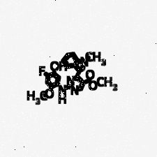 COC(=O)c1cnc(Nc2cc(O)c(F)cc2OC)nc1-c1cn(C)c2ccccc12